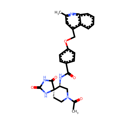 CC(=O)N1CC[C@@]2(NC(=O)NC2=O)[C@@H](NC(=O)c2ccc(OCc3cc(C)nc4ccccc34)cc2)C1